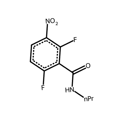 CCCNC(=O)c1c(F)ccc([N+](=O)[O-])c1F